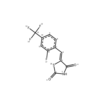 O=C1NC(=O)C(=Cc2ccc(C(F)(F)F)cc2F)S1